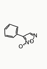 [O-][n+]1oncc1-c1ccccc1